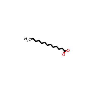 CCCCCCCCCCCCC([O])=O